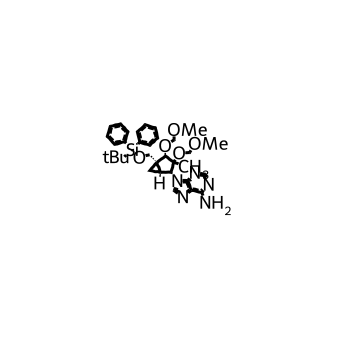 COCO[C@@H]1C(C)(OCOC)[C@H](n2cnc3c(N)ncnc32)[C@H]2C[C@]21CO[Si](c1ccccc1)(c1ccccc1)C(C)(C)C